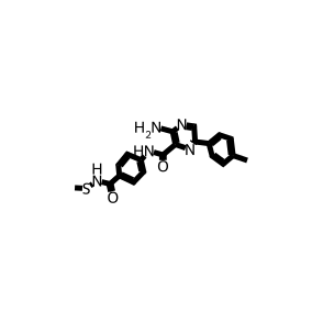 CSNC(=O)c1ccc(NC(=O)c2nc(-c3ccc(C)cc3)cnc2N)cc1